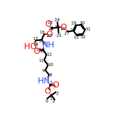 CC(C)(C)OC(=O)NCCCCCC(=O)NC(CO)COC(=O)C(C)(C)OCc1ccccc1